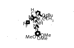 COc1cc(-n2cnc(Nc3nc(N4CCCC4CO[Si](C)(C)C(C)(C)C)c4c(C)nn(C5CC(F)(F)C5)c4n3)c2)cc(OC)c1OC